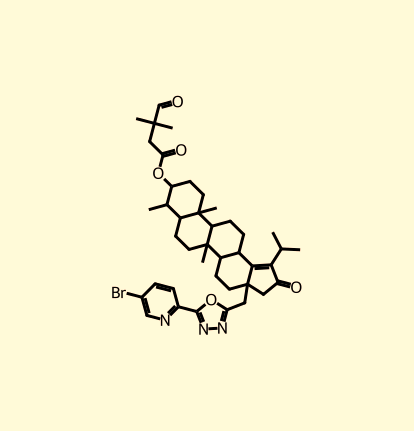 CC(C)C1=C2C3CCC4C(C)(CCC5C(C)C(OC(=O)CC(C)(C)C=O)CCC54C)C3CCC2(Cc2nnc(-c3ccc(Br)cn3)o2)CC1=O